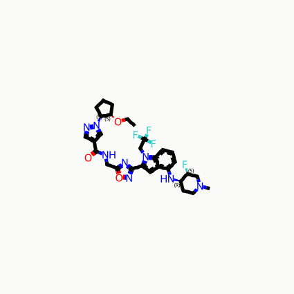 CCO[C@H]1CCC[C@@H]1n1cc(C(=O)NCc2nc(-c3cc4c(N[C@@H]5CCN(C)C[C@@H]5F)cccc4n3CC(F)(F)F)no2)cn1